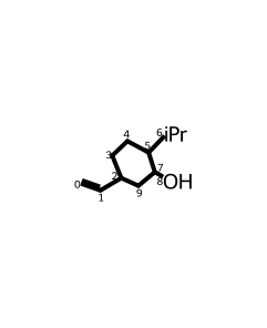 C=CC1CCC(C(C)C)C(O)C1